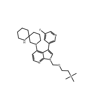 C[Si](C)(C)CCOCn1cc(-c2cncc(F)c2)c2c(N3CCCC4(CCCCN4)C3)ccnc21